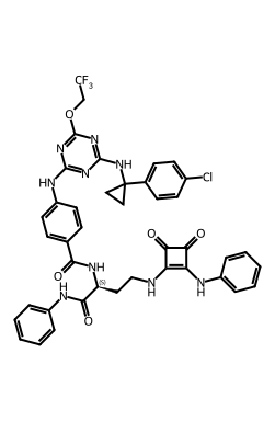 O=C(N[C@@H](CCNc1c(Nc2ccccc2)c(=O)c1=O)C(=O)Nc1ccccc1)c1ccc(Nc2nc(NC3(c4ccc(Cl)cc4)CC3)nc(OCC(F)(F)F)n2)cc1